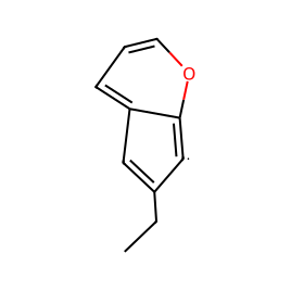 CCc1[c]c2occcc-2c1